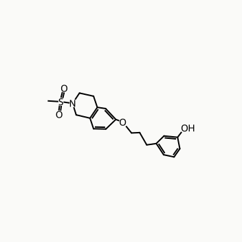 CS(=O)(=O)N1CCc2cc(OCCCc3cccc(O)c3)ccc2C1